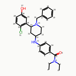 CCN(CC)C(=O)c1ccc(NC2CCN(Cc3ccccc3)C(c3cc(O)ccc3Cl)C2)cc1